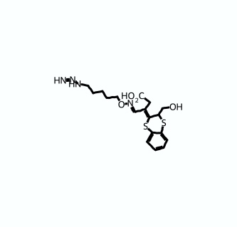 N=NNCCCCCO/N=C/C(CC(=O)O)=C1\Sc2ccccc2SC1CO